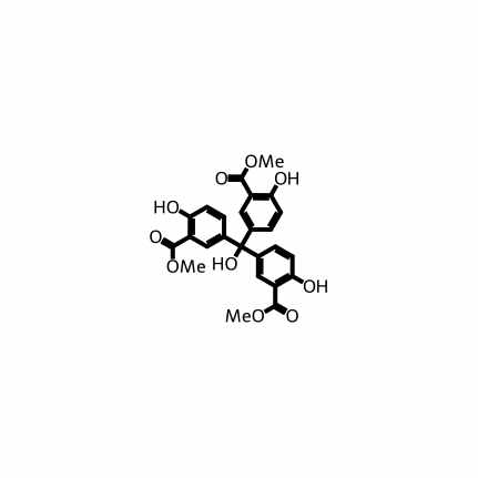 COC(=O)c1cc(C(O)(c2ccc(O)c(C(=O)OC)c2)c2ccc(O)c(C(=O)OC)c2)ccc1O